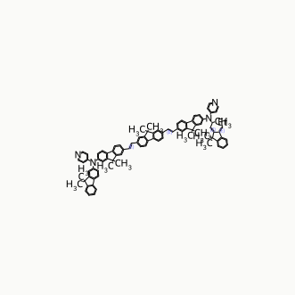 CC/C=C1\C(=C/C(C)N(c2ccncc2)c2ccc3c(c2)C(C)(C)c2cc(/C=C/c4ccc5c(c4)C(C)(C)c4cc(/C=C/c6ccc7c(c6)C(C)(C)c6cc(N(c8ccncc8)c8ccc9c(c8)C(C)(C)c8ccccc8-9)ccc6-7)ccc4-5)ccc2-3)C(C)(C)c2ccccc21